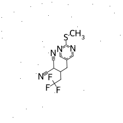 CSc1ncc(CC(CC(F)(F)F)C(C#N)C#N)cn1